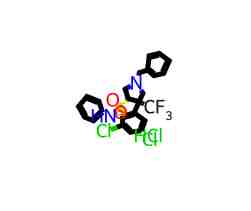 Cl.O=S(=O)(Nc1ccccc1)C1CN(Cc2ccccc2)CC1(c1cc(Cl)cc(Cl)c1)C(F)(F)F